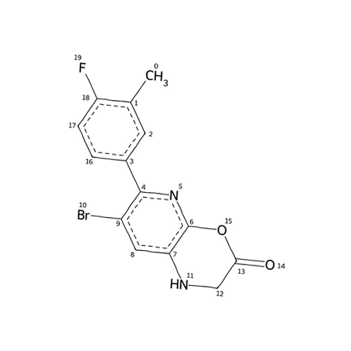 Cc1cc(-c2nc3c(cc2Br)NCC(=O)O3)ccc1F